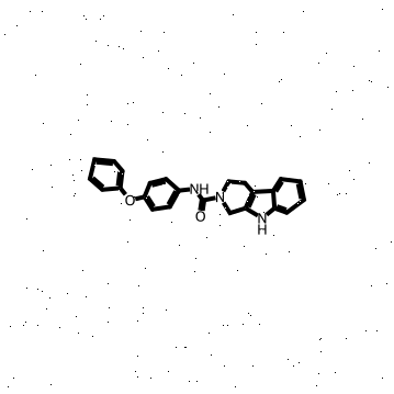 O=C(Nc1ccc(Oc2ccccc2)cc1)N1CCc2c([nH]c3ccccc23)C1